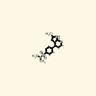 Cc1cc2c(-c3ccc(S(=O)(=O)N(C)C)cc3)ccnc2[nH]1